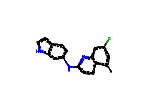 Cc1cc(Cl)cc2nc(Nc3ccc4cc[nH]c4c3)ccc12